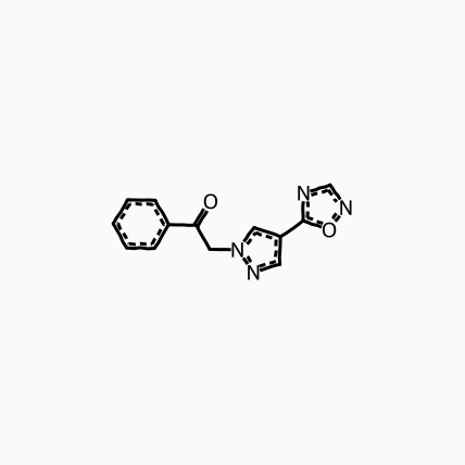 O=C(Cn1cc(-c2ncno2)cn1)c1ccccc1